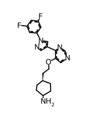 N[C@H]1CC[C@@H](CCOc2cncnc2-c2cnn(-c3cc(F)cc(F)c3)c2)CC1